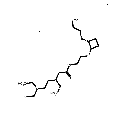 CNCCSC1CCC1SCCNC(=O)CN(CCN(CC(C)=O)CC(=O)O)CC(=O)O